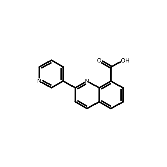 O=C(O)c1cccc2ccc(-c3cccnc3)nc12